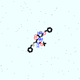 CC(C)(C)OC(=O)N[C@@H](CSCc1ccccc1)C(=O)N[C@H](CC(=O)OCc1ccccc1)C(N)=O